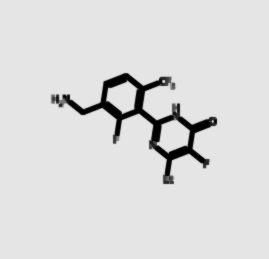 CCc1nc(-c2c(C(F)(F)F)ccc(CN)c2F)[nH]c(=O)c1F